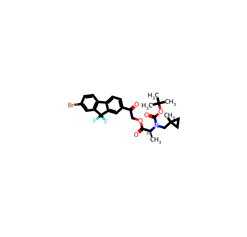 C[C@@H](C(=O)OCC(=O)c1ccc2c(c1)C(F)(F)c1cc(Br)ccc1-2)N(CC1(C)CC1)C(=O)OC(C)(C)C